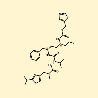 CCC[C@@H](CC[C@H](Cc1ccccc1)NC(=O)[C@@H](NC(=O)N(C)Cc1csc(C(C)C)n1)C(C)C)NC(=O)OCc1cncs1